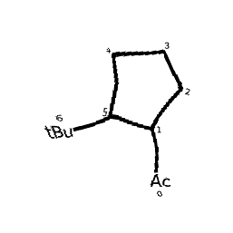 CC(=O)C1CCCC1C(C)(C)C